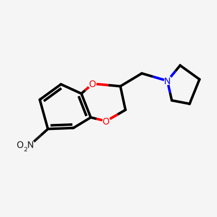 O=[N+]([O-])c1ccc2c(c1)OCC(CN1CCCC1)O2